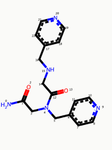 NC(=O)CN(Cc1ccncc1)C(=O)CNCc1ccncc1